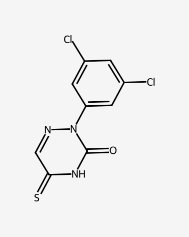 O=c1[nH]c(=S)cnn1-c1cc(Cl)cc(Cl)c1